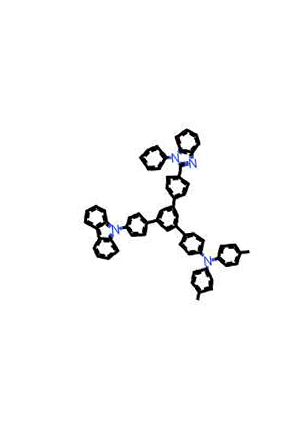 Cc1ccc(N(c2ccc(C)cc2)c2ccc(-c3cc(-c4ccc(-c5nc6ccccc6n5-c5ccccc5)cc4)cc(-c4ccc(-n5c6ccccc6c6ccccc65)cc4)c3)cc2)cc1